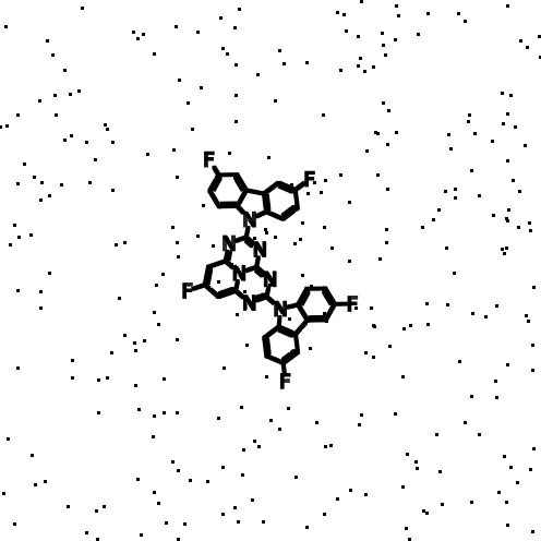 FC1=CC2=NC(n3c4ccc(F)cc4c4cc(F)ccc43)=NC3=NC(n4c5ccc(F)cc5c5cc(F)ccc54)=NC(=C1)N23